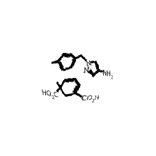 CC1(C(=O)O)C=CC=C(C(=O)O)C1.Cc1ccc(Cn2cc(N)cn2)cc1